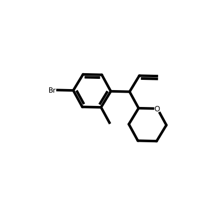 C=CC(c1ccc(Br)cc1C)C1CCCCO1